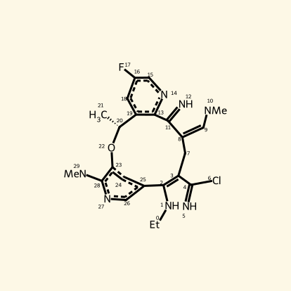 CCN/C1=C(\C(=N)Cl)C/C(=C/NC)C(=N)c2ncc(F)cc2[C@@H](C)Oc2cc1cnc2NC